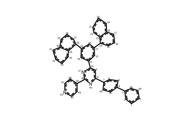 c1ccc(-c2ccc(-c3cc(-c4cc(-c5cccc6ccccc56)cc(-c5cccc6ccccc56)c4)nc(-c4ccncc4)n3)cc2)cc1